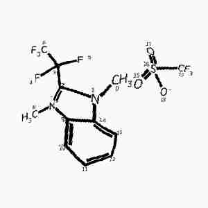 Cn1c(C(F)(F)C(F)(F)F)[n+](C)c2ccccc21.O=S(=O)([O-])C(F)(F)F